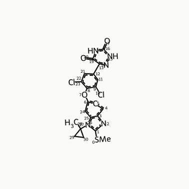 CSc1nc2ccc(Oc3c(Cl)cc(-c4n[nH]c(=O)[nH]c4=O)cc3Cl)cc2n1C1(C)CC1